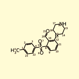 Cc1ccc(S(=O)(=O)c2cccc(N3CCNCC3)c2C=O)cc1